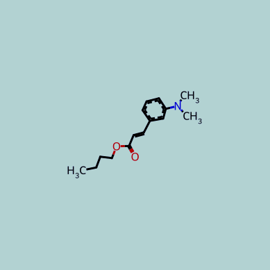 CCCCOC(=O)C=Cc1cccc(N(C)C)c1